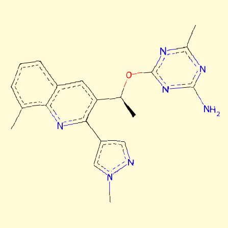 Cc1nc(N)nc(O[C@@H](C)c2cc3cccc(C)c3nc2-c2cnn(C)c2)n1